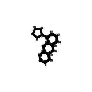 c1ccc2cc3c([C]4CCCC4)cccc3cc2c1